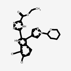 CCOC(=O)c1nnc(-c2[nH]c3c(Cl)c(Cl)ccc3c2-c2cnn(C3CCCCO3)c2)[nH]1